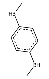 CBc1ccc(BC)cc1